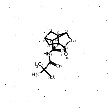 CCC(C)(C)C(=O)NC(=O)C1C2CC3C1OC(=O)C3(C#N)C2